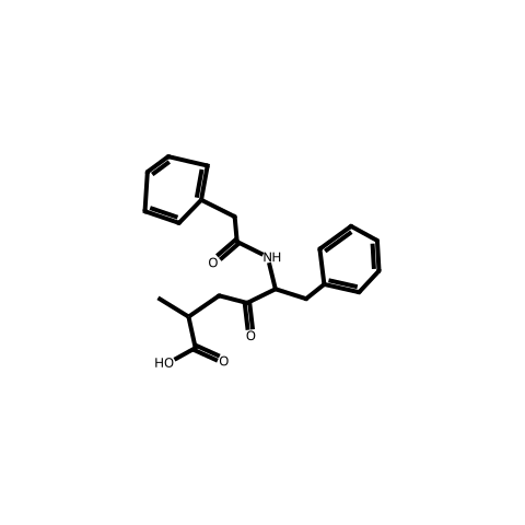 CC(CC(=O)C(Cc1ccccc1)NC(=O)Cc1ccccc1)C(=O)O